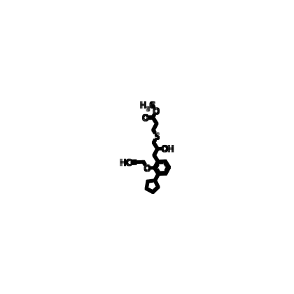 C#CCOc1c(CC(O)CSCCC(=O)OC)cccc1C1CCCC1